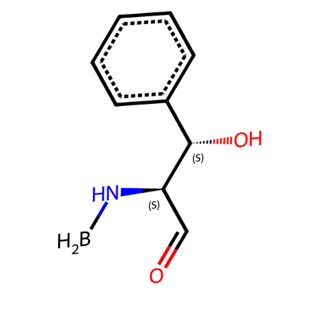 BN[C@H](C=O)[C@@H](O)c1ccccc1